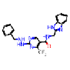 O=C(NCc1nc2ccccc2[nH]1)c1cnc(NNCc2ccccc2)nc1C(F)(F)F